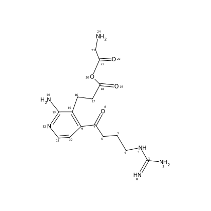 N=C(N)NCCCC(=O)c1ccnc(N)c1CCC(=O)OC(=O)CN